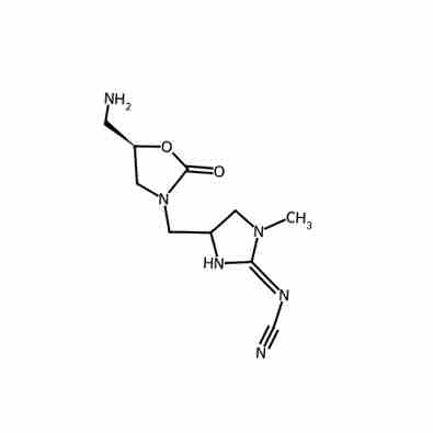 CN1CC(CN2C[C@@H](CN)OC2=O)N/C1=N\C#N